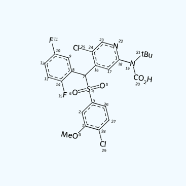 COc1cc(S(=O)(=O)C(c2cc(F)ccc2F)c2cc(N(C(=O)O)C(C)(C)C)ncc2Cl)ccc1Cl